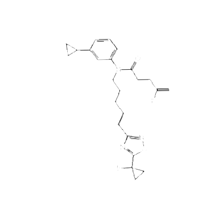 C=C(F)CCC(=O)N(CCCCCc1noc(C2(F)CC2)n1)c1cccc(C2CC2)c1